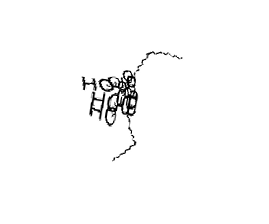 CCCCCCCC/C=C\CCCCCCCC(=O)OCC1OC(OC)C(OC(=O)CCCCCCC/C=C\CCCCCCCC)C(OCC(O)CO)C1OCC(O)CO